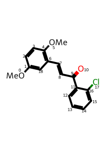 COc1ccc(OC)c(C=CC(=O)c2ccccc2Cl)c1